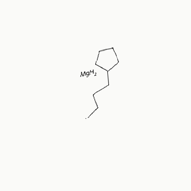 [CH2]CCCC1CCCC1.[MgH2]